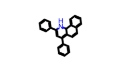 C1=Cc2ccccc2C2NC(c3ccccc3)=CC(c3ccccc3)=C12